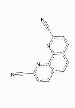 N#Cc1ccc2ccc3ccc(C#N)nc3c2n1